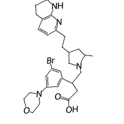 CC1CC(CCc2ccc3c(n2)NCCC3)CN1CC(CC(=O)O)c1cc(Br)cc(N2CCOCC2)c1